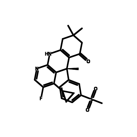 CC1(C)CC(=O)C2=C(C1)Nc1ncc(F)c(C3CC3)c1[C@@]2(C)c1cccc(S(C)(=O)=O)c1